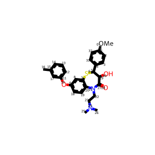 COc1ccc(C2Sc3cc(Oc4cccc(C)c4)ccc3N(CCN(C)C)C(=O)C2O)cc1